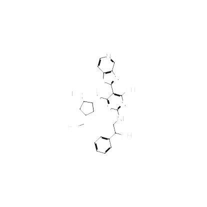 Cc1nc(NCC(O)c2ccccc2)nc(N[C@@H]2C[C@H](CO)C[C@H]2O)c1-c1nc2cnccc2s1